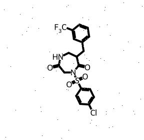 O=C1CN(S(=O)(=O)c2ccc(Cl)cc2)C(=O)C(Cc2cccc(C(F)(F)F)c2)CN1